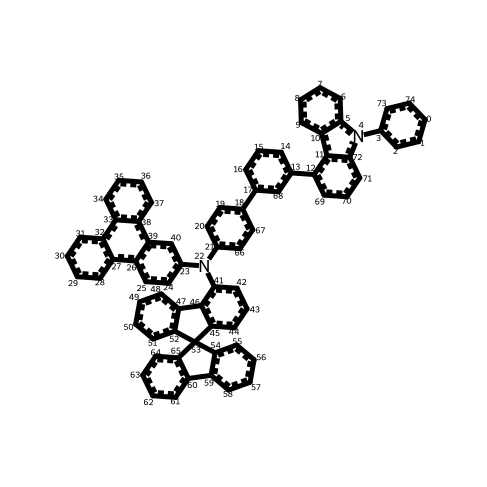 c1ccc(-n2c3ccccc3c3c(-c4cccc(-c5ccc(N(c6ccc7c8ccccc8c8ccccc8c7c6)c6cccc7c6-c6ccccc6C76c7ccccc7-c7ccccc76)cc5)c4)cccc32)cc1